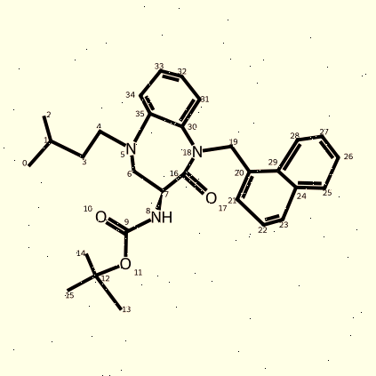 CC(C)CCN1C[C@H](NC(=O)OC(C)(C)C)C(=O)N(Cc2cccc3ccccc23)c2ccccc21